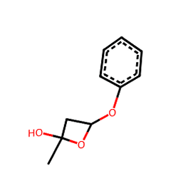 CC1(O)CC(Oc2ccccc2)O1